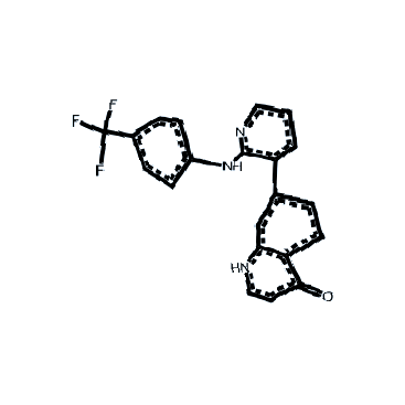 O=c1cc[nH]c2cc(-c3cccnc3Nc3ccc(C(F)(F)F)cc3)ccc12